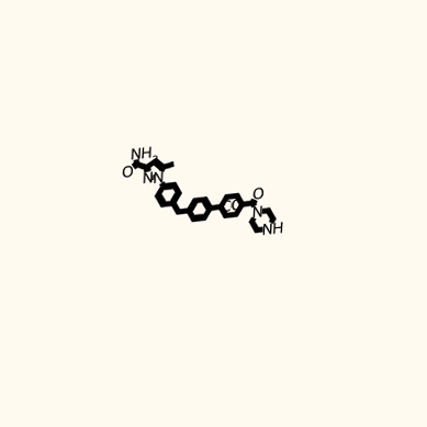 Cc1cc(C(N)=O)nn1-c1ccc(Cc2ccc(C34CCC(C(=O)N5CCNCC5)(CC3)CC4)cc2)cc1